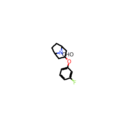 O=CN1C2CCC1CC(Oc1cccc(F)c1)C2